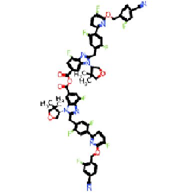 CC1(C)COC[C@H]1n1c(Cc2cc(F)c(-c3ccc(F)c(OCc4ccc(C#N)cc4F)n3)cc2F)nc2c(F)cc(C(=O)OC(=O)c3cc(F)c4nc(Cc5cc(F)c(-c6ccc(F)c(OCc7ccc(C#N)cc7F)n6)cc5F)n([C@@H]5COCC5(C)C)c4c3)cc21